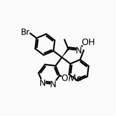 COc1nnccc1[C@](C(C)=NO)(c1ccc(Br)cc1)c1ccccc1C